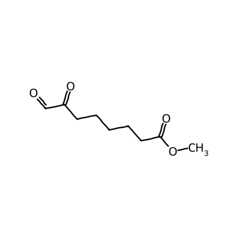 COC(=O)CCCCCC(=O)C=O